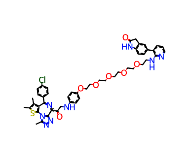 Cc1sc2c(c1C)C(c1ccc(Cl)cc1)=N[C@@H](C(=O)CNc1ccc(OCCOCCOCCOCCOCCNc3ncccc3-c3ccc4c(c3)CC(=O)N4)cc1)c1nnc(C)n1-2